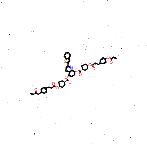 C=CC(=O)Cc1ccc(CCC(=O)O[C@H]2CC[C@H](C(=O)Oc3ccc(OC(=O)[C@H]4CC[C@H](OC(=O)CCc5ccc(OC(=O)C=C)cc5)CC4)c4nc(-c5cc6ccccc6s5)ccc34)CC2)cc1